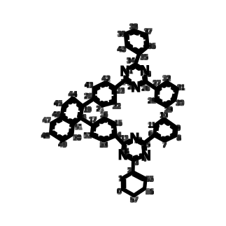 C1=CC(c2nc(-c3ccccc3)nc(-c3ccc(-c4c(-c5ccc(-c6nc(-c7ccccc7)nc(-c7ccccc7)n6)cc5)ccc5ccccc45)cc3)n2)=CCC1